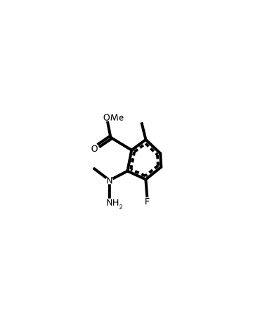 COC(=O)c1c(C)ccc(F)c1N(C)N